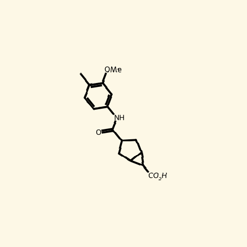 COc1cc(NC(=O)C2CC3C(C2)C3C(=O)O)ccc1C